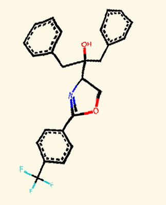 OC(Cc1ccccc1)(Cc1ccccc1)C1COC(c2ccc(C(F)(F)F)cc2)=N1